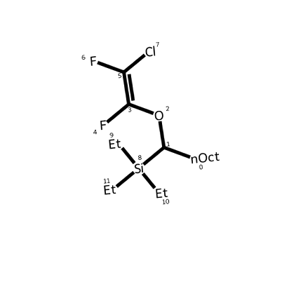 CCCCCCCCC(OC(F)=C(F)Cl)[Si](CC)(CC)CC